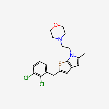 Cc1cc2cc(Cc3cccc(Cl)c3Cl)sc2n1CCN1CCOCC1